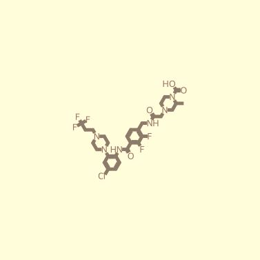 CC1CN(CC(=O)NCc2ccc(C(=O)Nc3ccc(Cl)cc3N3CCN(CCC(F)(F)F)CC3)c(F)c2F)CCN1C(=O)O